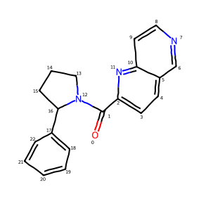 O=C(c1ccc2cnccc2n1)N1CCCC1c1ccccc1